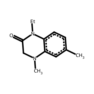 CCN1C(=O)CN(C)c2cc(C)ccc21